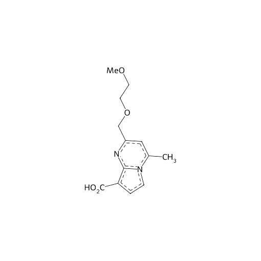 COCCOCc1cc(C)n2ccc(C(=O)O)c2n1